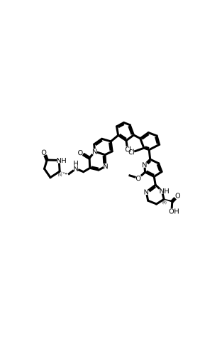 COc1nc(-c2cccc(-c3cccc(-c4ccn5c(=O)c(CNC[C@@H]6CCC(=O)N6)cnc5c4)c3Cl)c2Cl)ccc1C1=NCC[C@H](C(=O)O)N1